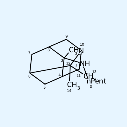 CCCCCNC1(C)C2CC3CC1CN(C2)C3(C)C